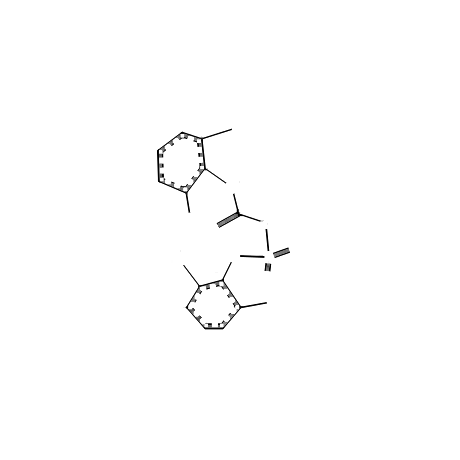 CC(C)c1cccc(C(C)C)c1OC(=O)NS(=O)(=O)Oc1c(C(C)C)cccc1C(C)C